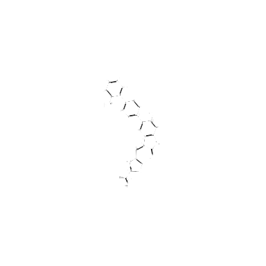 O=C1Nc2cc(Cl)c(-c3ccc(-c4ccccc4O)cc3)cc2C1=Cc1csc(C(=O)O)n1